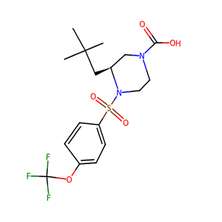 CC(C)(C)C[C@H]1CN(C(=O)O)CCN1S(=O)(=O)c1ccc(OC(F)(F)F)cc1